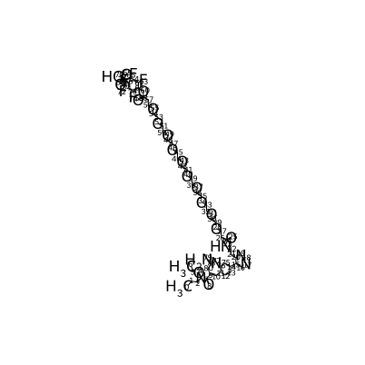 CCCN(OCC)C(=O)C1=Cc2ccc(-c3cncnc3CCNC(=O)CCOCCOCCOCCOCCOCCOCCOCCOCCOCCOCCC(=O)Oc3c(F)c(F)c(S(=O)(=O)O)c(F)c3F)cc2N=C(N)C1